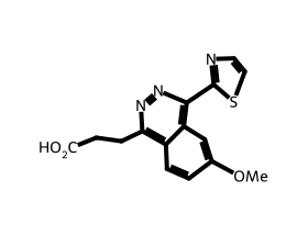 COc1ccc2c(CCC(=O)O)nnc(-c3nccs3)c2c1